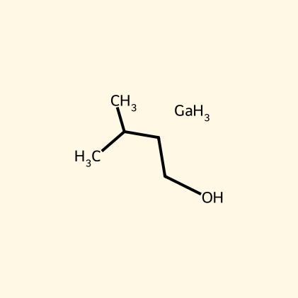 CC(C)CCO.[GaH3]